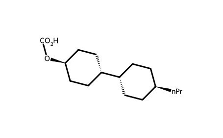 CCC[C@H]1CC[C@H]([C@H]2CC[C@H](OC(=O)O)CC2)CC1